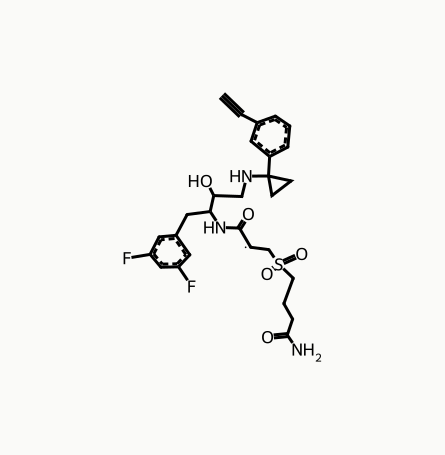 C#Cc1cccc(C2(NCC(O)C(Cc3cc(F)cc(F)c3)NC(=O)[CH]CS(=O)(=O)CCCC(N)=O)CC2)c1